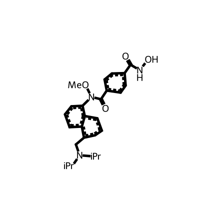 CON(C(=O)c1ccc(C(=O)NO)cc1)c1cccc2c(CN(C(C)C)C(C)C)cccc12